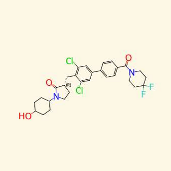 O=C(c1ccc(-c2cc(Cl)c(C[C@@H]3CCN(C4CCC(O)CC4)C3=O)c(Cl)c2)cc1)N1CCC(F)(F)CC1